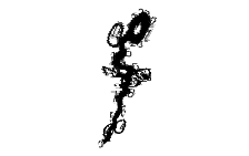 CCOC(=O)CCCCCOc1cnc(C=CC(=O)c2ccccc2)cc1OC